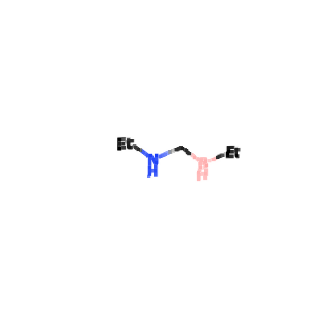 CCBCNCC